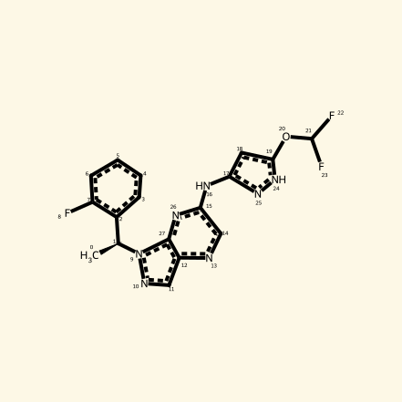 C[C@@H](c1ccccc1F)n1ncc2ncc(Nc3cc(OC(F)F)[nH]n3)nc21